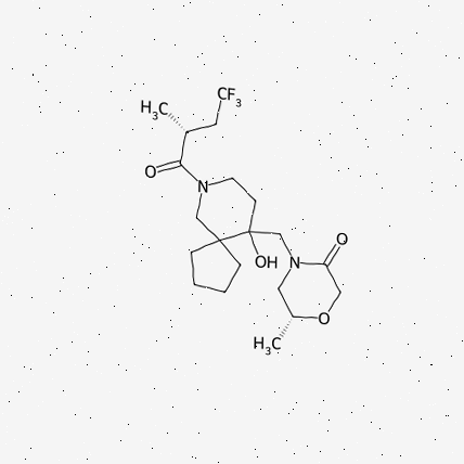 C[C@@H]1CN(CC2(O)CCN(C(=O)[C@H](C)CC(F)(F)F)CC23CCCC3)C(=O)CO1